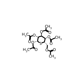 CC(=O)OC[C@@H]1S[C@H](OC(C)=O)[C@H](OC(C)=O)[C@@H](OC(C)=O)[C@@H]1OC(C)=O